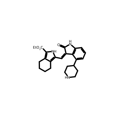 CCOC(=O)c1[nH]c(C=C2C(=O)Nc3cccc(C4CCNCC4)c32)c2c1CCCC2